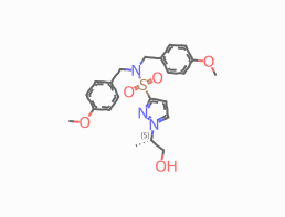 COc1ccc(CN(Cc2ccc(OC)cc2)S(=O)(=O)c2ccn([C@@H](C)CO)n2)cc1